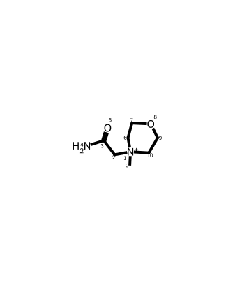 C[N+]1(CC(N)=O)CCOCC1